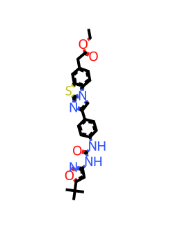 CCOC(=O)Cc1ccc2c(c1)sc1nc(-c3ccc(NC(=O)Nc4cc(C(C)(C)C)on4)cc3)cn12